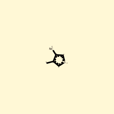 Cc1cscc1C#N